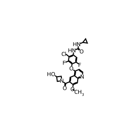 COc1cc2nccc(Oc3c(F)cc(NC(=O)NC4CC4)c(Cl)c3F)c2cc1C(=O)N1CC(O)C1